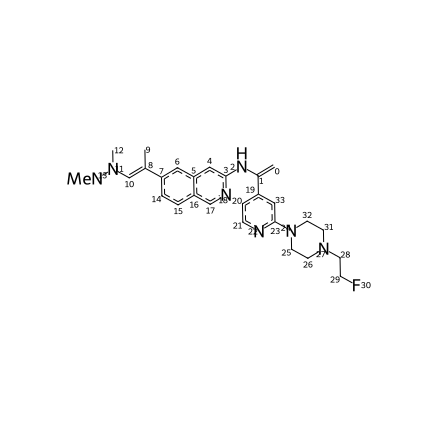 C=C(Nc1cc2cc(/C(C)=C/N(C)NC)ccc2cn1)c1ccnc(N2CCN(CCF)CC2)c1